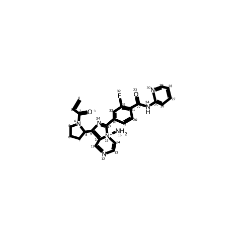 C=CC(=O)N1CCCC1C1=C2C=NC=C[N+]2(N)C(c2ccc(C(=O)Nc3ccccn3)c(F)c2)=N1